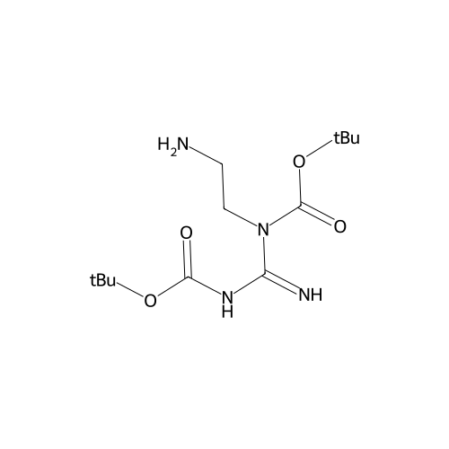 CC(C)(C)OC(=O)NC(=N)N(CCN)C(=O)OC(C)(C)C